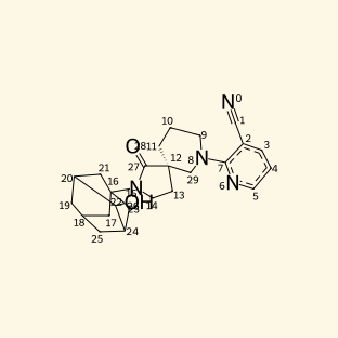 N#Cc1cccnc1N1CCC[C@@]2(CCN(C34CC5CC(C3)C(O)C(C5)C4)C2=O)C1